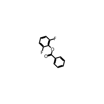 O=C(Oc1c(F)cccc1F)c1ccccc1